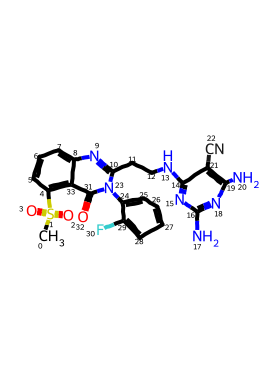 CS(=O)(=O)c1cccc2nc(CCNc3nc(N)nc(N)c3C#N)n(-c3ccccc3F)c(=O)c12